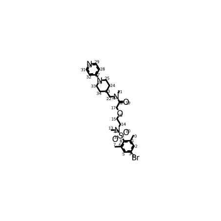 Cc1cc(Br)cc(C)c1S(=O)(=O)N(C)CCOCC(=O)N(C)CC1CCN(c2ccncc2)CC1